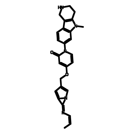 C/C=C\N=c1\c2cc(COc3ccn(-c4ccc5c6c(n(C)c5c4)CCNC6)c(=O)c3)cn12